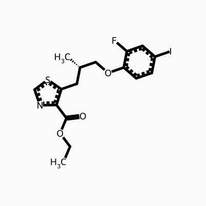 CCOC(=O)c1ncsc1C[C@H](C)COc1ccc(I)cc1F